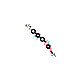 C=CCOc1ccc(OC(=O)C2CCC(c3ccc(C4CCC(OCC)CC4)c(F)c3F)CC2)c(F)c1